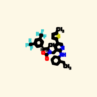 CCC1CCCCC1Nc1ncc(-c2ccc(C)s2)cc1CN1C(=O)O[C@H](c2cc(C(F)(F)F)cc(C(F)(F)F)c2)[C@@H]1C